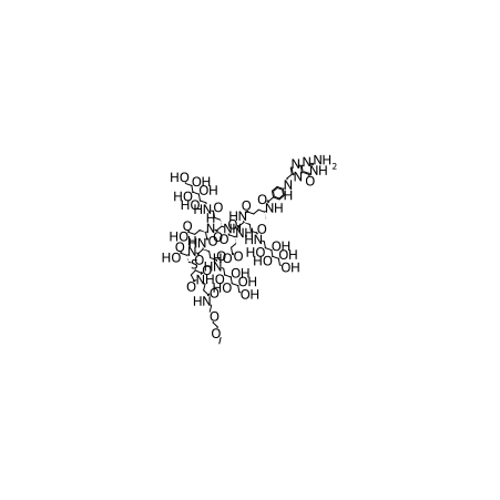 CCOCCOCCNC(=O)CCN1C(=O)CC(SC[C@@H](NC(=O)[C@H](CCC(=O)NC[C@H](O)[C@@H](O)[C@H](O)[C@H](O)CO)NC(=O)[C@@H](CCC(=O)O)NC(=O)[C@H](CCC(=O)NC[C@H](O)[C@@H](O)[C@H](O)[C@H](O)CO)NC(=O)[C@@H](CCC(=O)O)NC(=O)[C@H](CCC(=O)NC[C@H](O)[C@@H](O)[C@H](O)[C@H](O)CO)NC(=O)CC[C@@H](C)NC(=O)c2ccc(NCc3cnc4nc(N)[nH]c(=O)c4n3)cc2)C(=O)O)C1=O